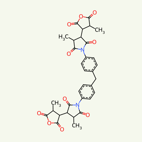 CC1C(=O)OC(=O)C1C1C(=O)N(c2ccc(Cc3ccc(N4C(=O)C(C)C(C5C(=O)OC(=O)C5C)C4=O)cc3)cc2)C(=O)C1C